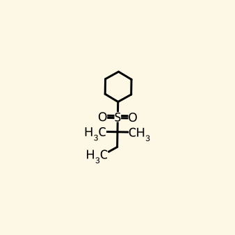 CCC(C)(C)S(=O)(=O)C1CCCCC1